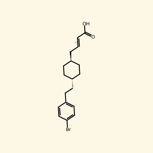 O=C(O)/C=C/C[C@H]1CC[C@H](CCc2ccc(Br)cc2)CC1